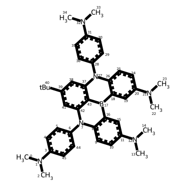 CN(C)c1ccc(N2c3ccc(N(C)C)cc3B3c4cc(N(C)C)ccc4N(c4ccc(N(C)C)cc4)c4cc(C(C)(C)C)cc2c43)cc1